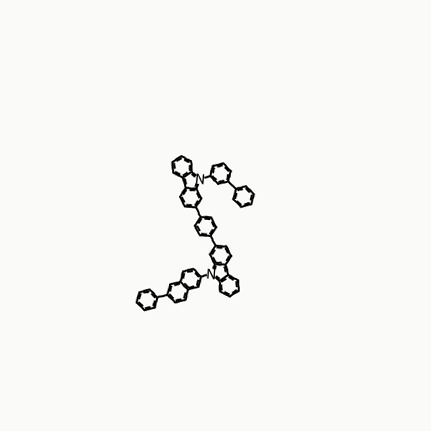 c1ccc(-c2cccc(-n3c4ccccc4c4ccc(-c5ccc(-c6ccc7c8ccccc8n(-c8ccc9cc(-c%10ccccc%10)ccc9c8)c7c6)cc5)cc43)c2)cc1